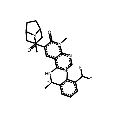 C[C@@H](Nc1ncnc2c1cc(C(=O)N1C3CCC1CN(C)C3)c(=O)n2C)c1cccc(C(F)F)c1F